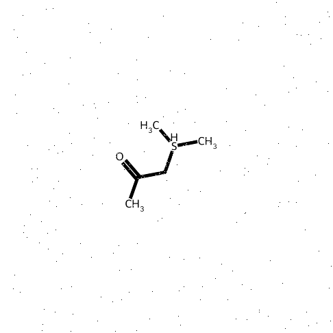 CC(=O)C[SH](C)C